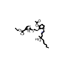 CCCCCC(C)(O)C/C=C/[C@@H]1CC[C@H](OC(C)=O)[C@@H]1CCSc1nc(C(=O)OCC)cs1